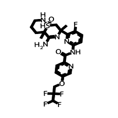 CC1(c2nc(NC(=O)c3ccc(OCC(F)(F)C(F)F)cn3)ccc2F)C[SH]2(=O)NCCCC2(C)C(N)=N1